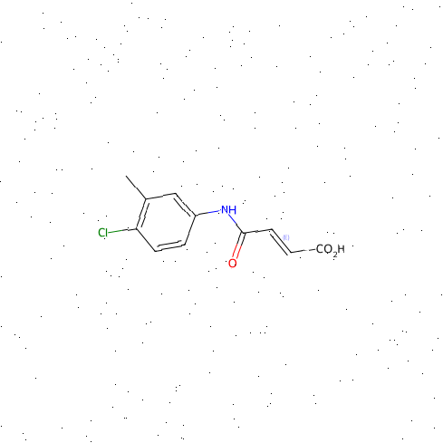 Cc1cc(NC(=O)/C=C/C(=O)O)ccc1Cl